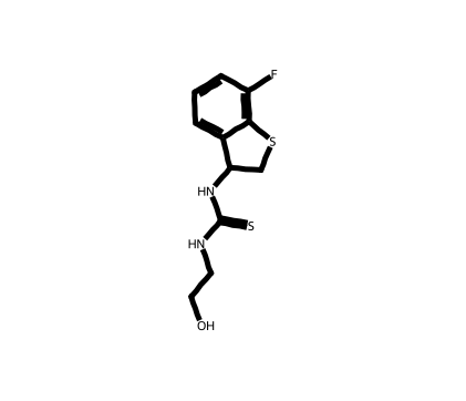 OCCNC(=S)NC1CSc2c(F)cccc21